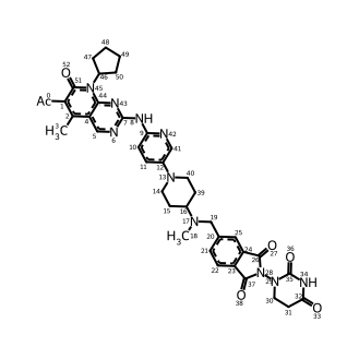 CC(=O)c1c(C)c2cnc(Nc3ccc(N4CCC(N(C)Cc5ccc6c(c5)C(=O)N(N5CCC(=O)NC5=O)C6=O)CC4)cn3)nc2n(C2CCCC2)c1=O